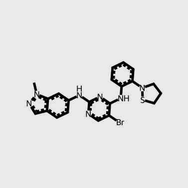 Cn1ncc2ccc(Nc3ncc(Br)c(Nc4ccccc4N4CCCS4)n3)cc21